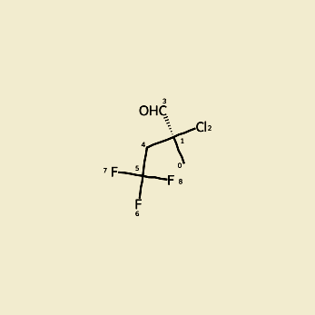 C[C@@](Cl)(C=O)CC(F)(F)F